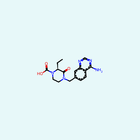 CC[C@H]1C(=O)N(Cc2ccc3c(N)ncnc3c2)CCN1C(=O)O